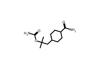 CC(C)(CC1CCC(C(N)=O)CC1)OC(N)=O